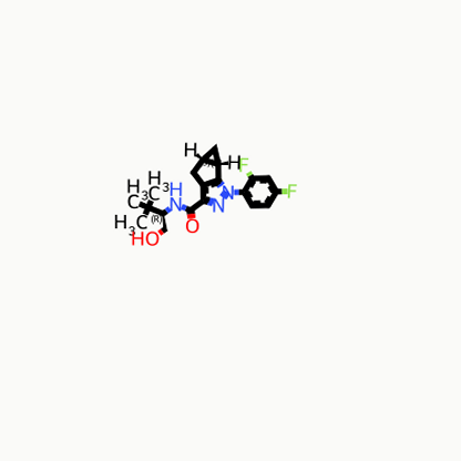 CC(C)(C)[C@H](CO)NC(=O)c1nn(-c2ccc(F)cc2F)c2c1C[C@@H]1C[C@H]21